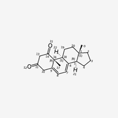 C[C@@]12CCC[C@H]1C1=CC=C3CC(=O)CC(=O)[C@]3(C)[C@H]1CC2